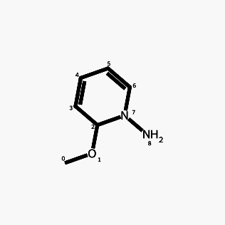 COC1C=CC=CN1N